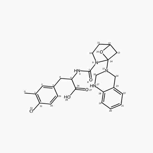 Cc1cc(CC(NC(=O)N2CCC3CC2(N2CNc4ccccc4C2)O3)C(=O)O)ccc1Cl